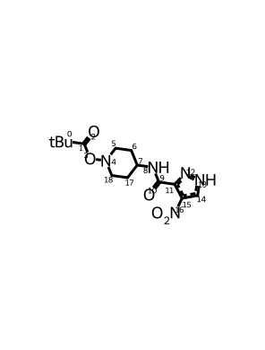 CC(C)(C)C(=O)ON1CCC(NC(=O)c2n[nH]cc2[N+](=O)[O-])CC1